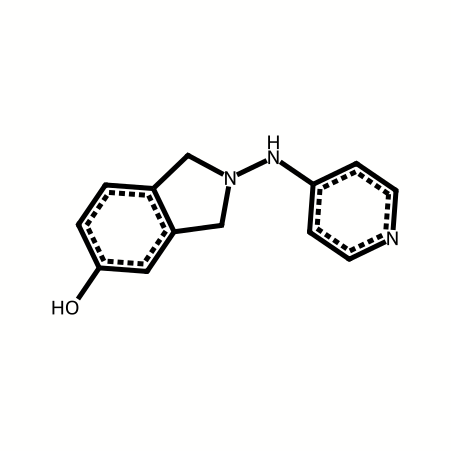 Oc1ccc2c(c1)CN(Nc1ccncc1)C2